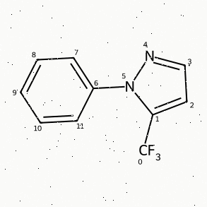 FC(F)(F)c1c[c]nn1-c1ccccc1